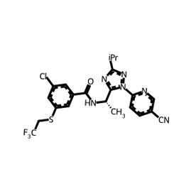 CC(C)c1nc([C@H](C)NC(=O)c2cc(Cl)cc(SCC(F)(F)F)c2)n(-c2ccc(C#N)cn2)n1